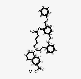 COC(=O)CCCCN(CCc1ccccc1OCc1ccc(CSc2ccccc2)cc1)C1CCCc2cc(C(=O)OC)ccc21